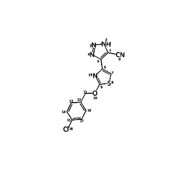 N#Cc1[nH]nnc1-c1csc(OCc2ccc(Cl)cc2)n1